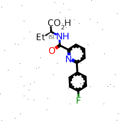 CC[C@H](NC(=O)c1cccc(-c2ccc(F)cc2)n1)C(=O)O